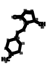 CN1CCN(CCN2C(=O)C=CC2O)CC1